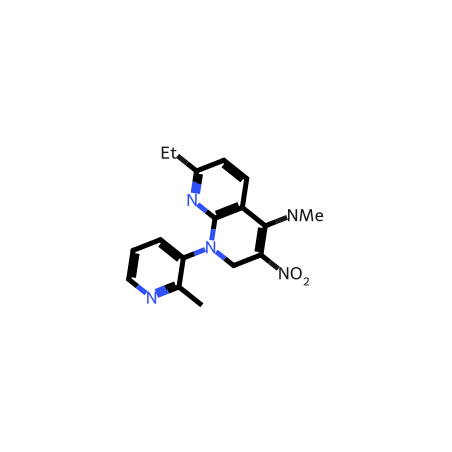 CCc1ccc2c(n1)N(c1cccnc1C)CC([N+](=O)[O-])=C2NC